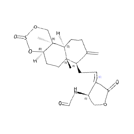 C=C1CC[C@@H]2[C@]3(C)COS(=O)O[C@@H]3CC[C@@]2(C)[C@@H]1C/C=C1/C(=O)OC[C@H]1NC=O